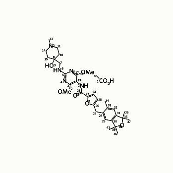 CC(=O)O.COc1nc(NCC2(O)CCN(C)CC2)nc(OC)c1NC(=O)c1ccc(Cc2cc3c(cc2C)C(C)(C)OC3(C)C)o1